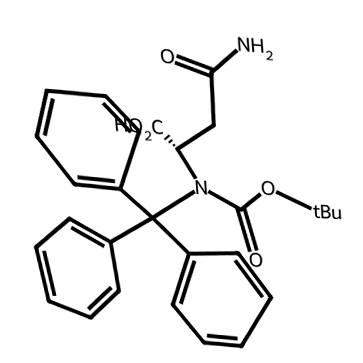 CC(C)(C)OC(=O)N([C@@H](CC(N)=O)C(=O)O)C(c1ccccc1)(c1ccccc1)c1ccccc1